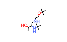 C[C@@H](O)[C@@H](CNCCOC(C)(C)C)NC(C)(C)C